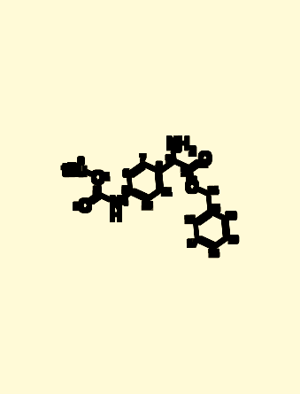 CC(C)(C)OC(=O)Nc1ccc(C(N)C(=O)OCc2ccccc2)cc1